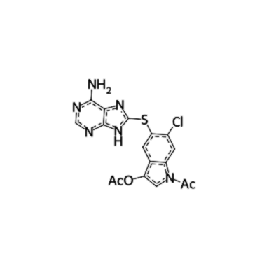 CC(=O)Oc1cn(C(C)=O)c2cc(Cl)c(Sc3nc4c(N)ncnc4[nH]3)cc12